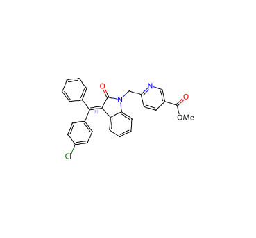 COC(=O)c1ccc(CN2C(=O)/C(=C(\c3ccccc3)c3ccc(Cl)cc3)c3ccccc32)nc1